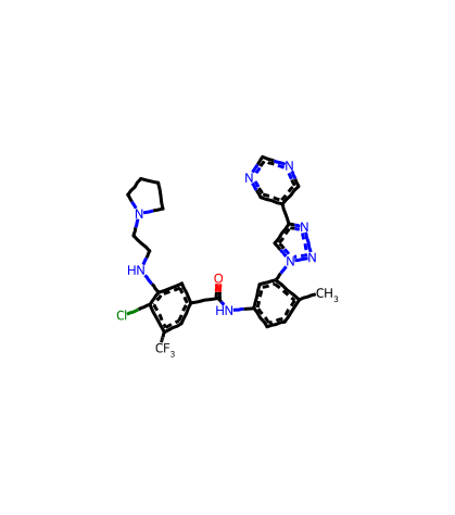 Cc1ccc(NC(=O)c2cc(NCCN3CCCC3)c(Cl)c(C(F)(F)F)c2)cc1-n1cc(-c2cncnc2)nn1